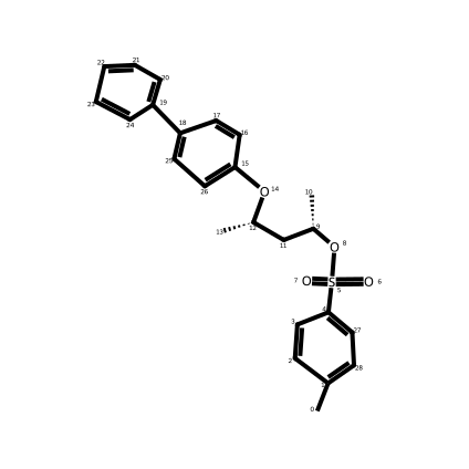 Cc1ccc(S(=O)(=O)O[C@@H](C)C[C@H](C)Oc2ccc(-c3ccccc3)cc2)cc1